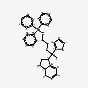 CC(CCCO[Si](c1ccccc1)(c1ccccc1)c1ccccc1)(C1=CC=CC1)C1CCC2CC=CC=C21